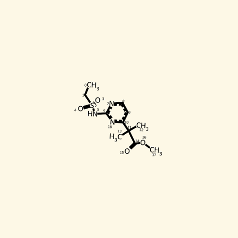 CCS(=O)(=O)Nc1nccc(C(C)(C)C(=O)OC)n1